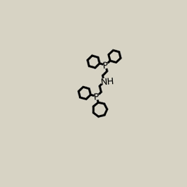 C1CCCC(P(CCNCCP(C2CCCCC2)C2CCCCC2)C2CCCCC2)CC1